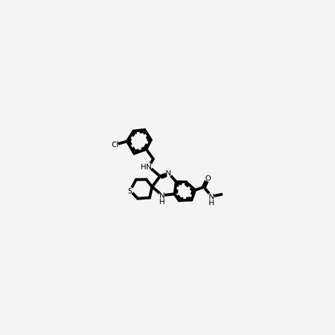 CNC(=O)c1ccc2c(c1)N=C(NCc1cccc(Cl)c1)C1(CCSCC1)N2